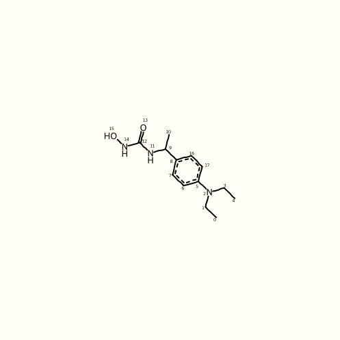 CCN(CC)c1ccc(C(C)NC(=O)NO)cc1